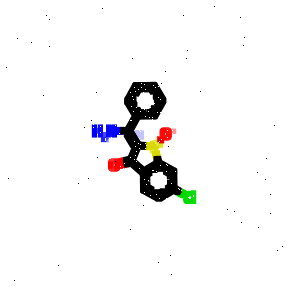 N/C(=C1\C(=O)c2ccc(Cl)cc2[S+]1[O-])c1ccccc1